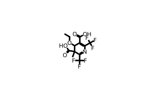 CCOC1C(C(=O)O)=C(C(F)(F)F)N=C(C(F)(F)F)C1(C)C(=O)O